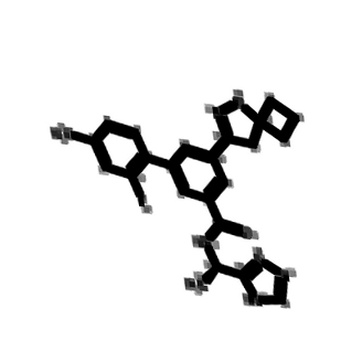 Cc1ccc(-c2cc(C(=O)N[C@H](C)c3nnc[nH]3)cc(C3=NOC4(CCC4)C3)c2)c(F)c1